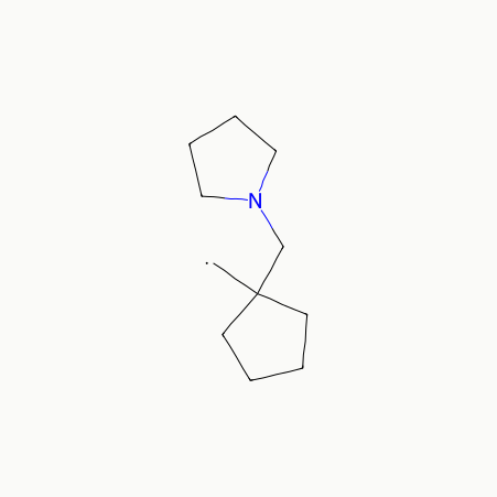 [CH2]C1(CN2CCCC2)CCCC1